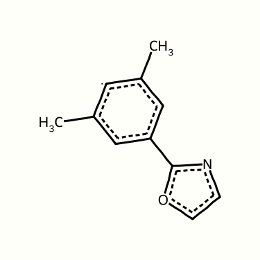 Cc1[c]c(C)cc(-c2ncco2)c1